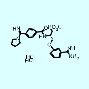 Cl.Cl.N=C(N)c1cccc(OC[C@@H](CC(=O)O)NC(=O)c2ccc(C(=N)N3CCCC3)cc2)c1